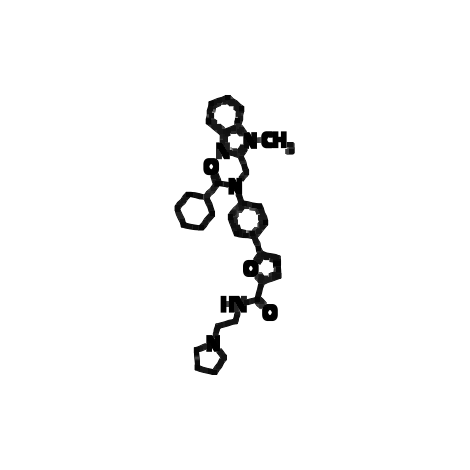 Cn1c(CN(C(=O)C2CCCCC2)c2ccc(-c3ccc(C(=O)NCCN4CCCC4)o3)cc2)nc2ccccc21